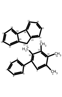 Cc1cc(-c2ccccc2)c(C)c(C)c1C.c1ccc2c(c1)Cc1ccccc1-2